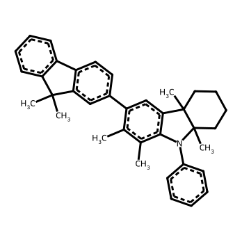 Cc1c(-c2ccc3c(c2)C(C)(C)c2ccccc2-3)cc2c(c1C)N(c1ccccc1)C1(C)CCCCC21C